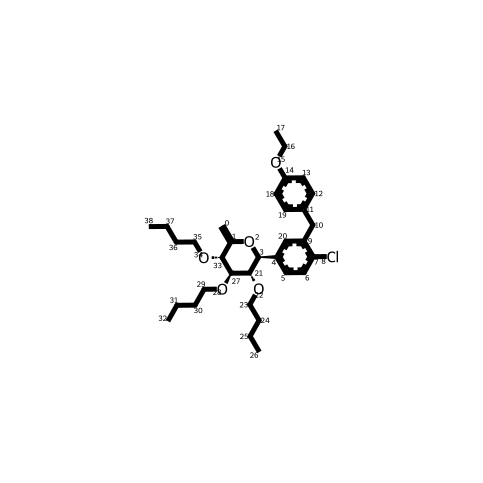 C=C1O[C@@H](c2ccc(Cl)c(Cc3ccc(OCC)cc3)c2)[C@H](OCCCC)[C@@H](OCCCC)[C@@H]1OCCCC